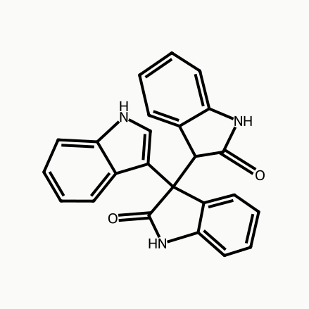 O=C1Nc2ccccc2C1C1(c2c[nH]c3ccccc23)C(=O)Nc2ccccc21